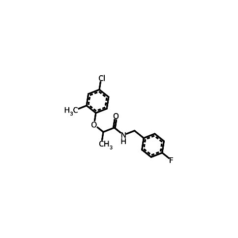 Cc1cc(Cl)ccc1OC(C)C(=O)NCc1ccc(F)cc1